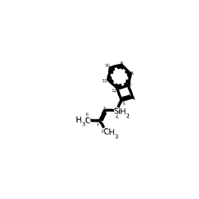 CC(C)=C[SiH2]C1=Cc2ccccc21